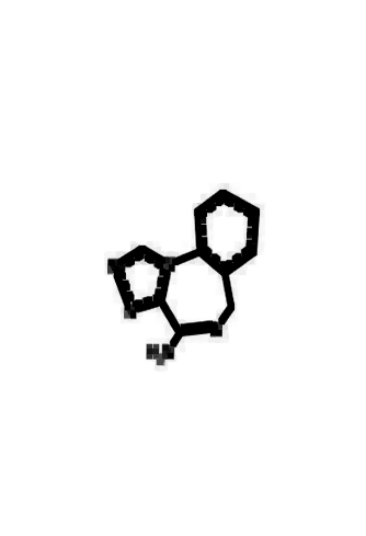 NC1=NCc2ccccc2-n2cnnc21